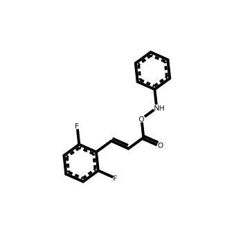 O=C(C=Cc1c(F)cccc1F)ONc1ccccc1